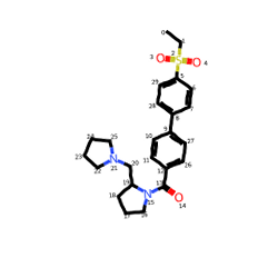 CCS(=O)(=O)c1ccc(-c2ccc(C(=O)N3CCCC3CN3CCCC3)cc2)cc1